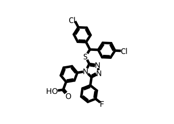 O=C(O)c1cccc(-n2c(SC(c3ccc(Cl)cc3)c3ccc(Cl)cc3)nnc2-c2cccc(F)c2)c1